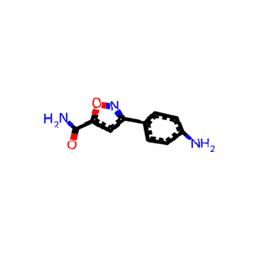 NC(=O)c1cc(-c2ccc(N)cc2)no1